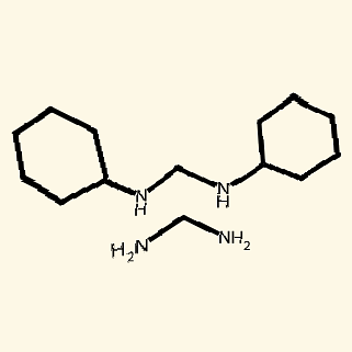 C1CCC(NCNC2CCCCC2)CC1.NCN